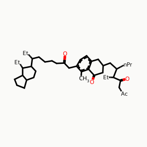 CCCC(CC1CC(=O)c2c(ccc(CC(=O)CCCCC(CC)C3CCC4CCCC4C3CC)c2C)C1)C(CC)C(=O)CC(C)=O